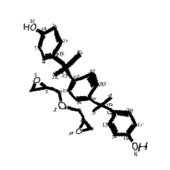 C(OCC1CO1)C1CO1.CC(C)(c1ccc(O)cc1)c1ccc(C(C)(C)c2ccc(O)cc2)cc1